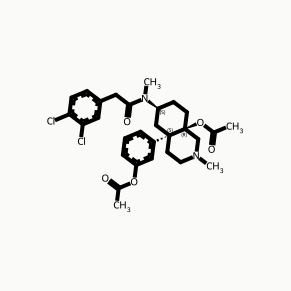 CC(=O)Oc1cccc([C@@]23CCN(C)C[C@@]2(OC(C)=O)CC[C@H](N(C)C(=O)Cc2ccc(Cl)c(Cl)c2)C3)c1